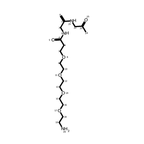 C=C(CNC(=O)CCOCCOCCOCCOCCN)NCC(C)=O